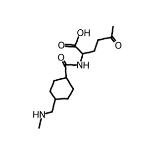 CNCC1CCC(C(=O)NC(CCC(C)=O)C(=O)O)CC1